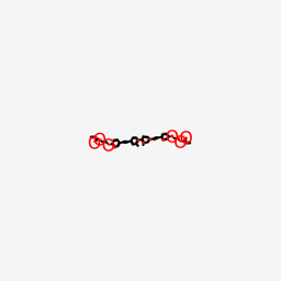 C=CC(=O)OCCOc1ccc(C#Cc2ccc(-c3ccc(C#Cc4ccc(OCCOC(=O)C=C)cc4)cc3C)c(C)c2)cc1